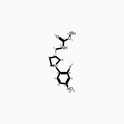 CC(C)(C)OC(=O)NC[C@H]1CCN(c2ccc([N+](=O)[O-])cc2F)C1